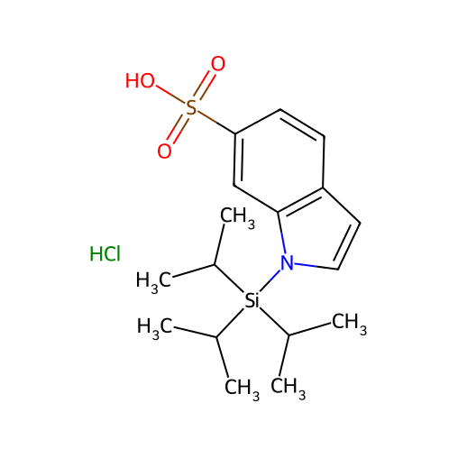 CC(C)[Si](C(C)C)(C(C)C)n1ccc2ccc(S(=O)(=O)O)cc21.Cl